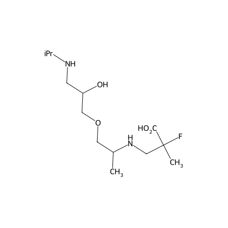 CC(C)NCC(O)COCC(C)NCC(C)(F)C(=O)O